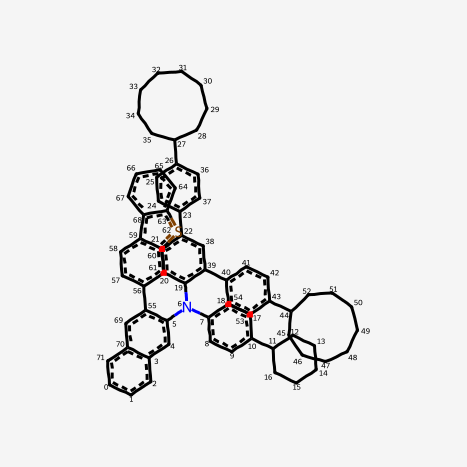 c1ccc2cc(N(c3ccc(C4CCCCC4)cc3)c3ccc(-c4ccc(C5CCCCCCCC5)cc4)cc3-c3ccc(C4CCCCCCCC4)cc3)c(-c3ccc4c(c3)sc3ccccc34)cc2c1